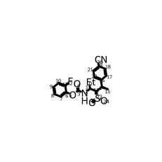 CCC(NC(=O)Oc1ccccc1F)C(C(C)c1ccc(C#N)cc1)=S(=O)=O